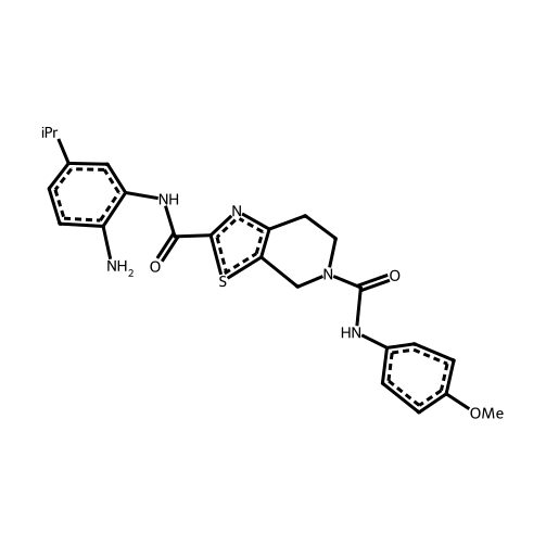 COc1ccc(NC(=O)N2CCc3nc(C(=O)Nc4cc(C(C)C)ccc4N)sc3C2)cc1